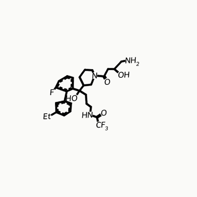 CCc1cccc(-c2c(F)cccc2C(O)(CCCNC(=O)C(F)(F)F)C2CCCN(C(=O)CC(O)CN)C2)c1